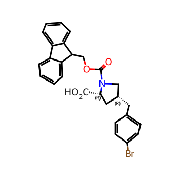 O=C(O)[C@H]1C[C@@H](Cc2ccc(Br)cc2)CN1C(=O)OCC1c2ccccc2-c2ccccc21